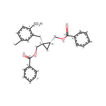 Cc1ccc(S(=O)(=O)O)c(C[C@@]2(COC(=O)c3ccccc3)C[C@H]2COC(=O)c2ccccc2)c1